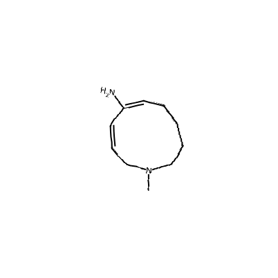 CN1C/C=C\C(N)=C/CCCC1